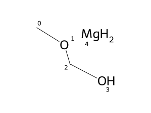 COCO.[MgH2]